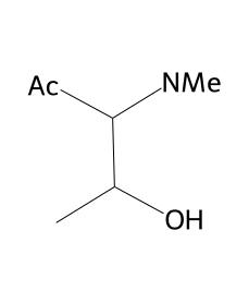 CNC(C(C)=O)C(C)O